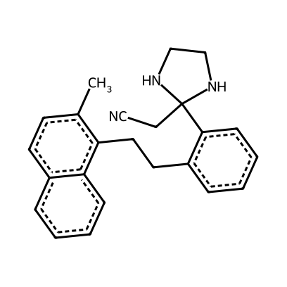 Cc1ccc2ccccc2c1CCc1ccccc1C1(CC#N)NCCN1